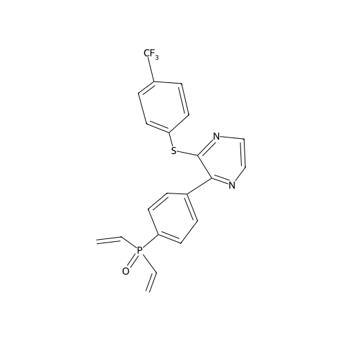 C=CP(=O)(C=C)c1ccc(-c2nccnc2Sc2ccc(C(F)(F)F)cc2)cc1